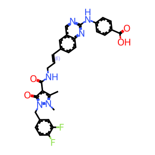 Cc1c(C(=O)NC/C=C/c2ccc3nc(Nc4ccc(C(=O)O)cc4)ncc3c2)c(=O)n(Cc2ccc(F)c(F)c2)n1C